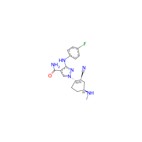 CN[C@H]1CC[C@H](n2cc(C(N)=O)c(Nc3ccc(F)cc3)n2)[C@@H](C#N)C1